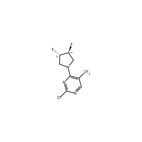 F[C@H]1CN(c2nc(Cl)ncc2C(F)(F)F)C[C@@H]1F